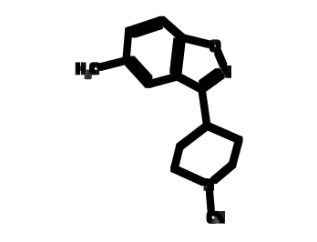 Cc1ccc2onc(C3CCN(C#N)CC3)c2c1